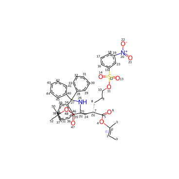 C/C=C(\C)OC(=O)[C@@H](CCCOS(=O)(=O)c1cccc([N+](=O)[O-])c1)C[C@H](NC(c1ccccc1)(c1ccccc1)c1ccccc1)C(=O)OC(C)(C)C